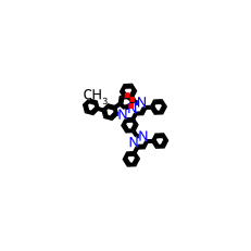 Cc1cccc(-c2ccc3c(c2)c2ccccc2n3-c2ccc(-c3nc(-c4ccccc4)cc(-c4ccccc4)n3)cc2-c2cc(-c3ccccc3)nc(-c3ccccc3)n2)c1